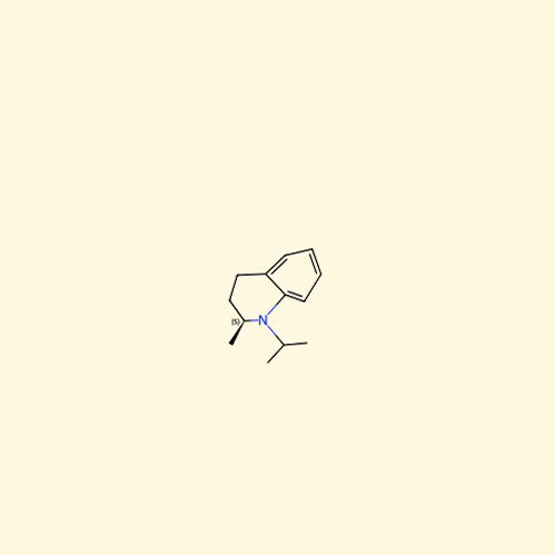 CC(C)N1c2ccccc2CC[C@@H]1C